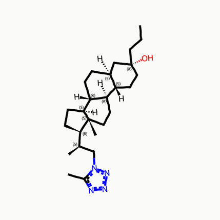 CCC[C@@]1(O)CC[C@H]2[C@@H](CC[C@@H]3[C@@H]2CC[C@]2(C)[C@@H]([C@H](C)Cn4nnnc4C)CC[C@@H]32)C1